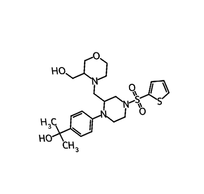 CC(C)(O)c1ccc(N2CCN(S(=O)(=O)c3cccs3)CC2CN2CCOCC2CO)cc1